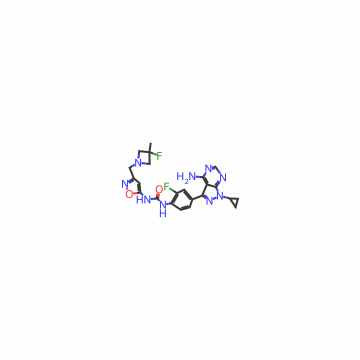 CC1(F)CN(Cc2cc(NC(=O)Nc3ccc(-c4nn(C5CC5)c5ncnc(N)c45)cc3F)on2)C1